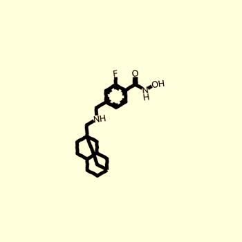 O=C(NO)c1ccc(CNCC23CCC4CCC(CC4C2)C3)cc1F